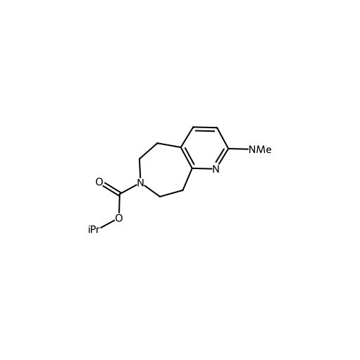 CNc1ccc2c(n1)CCN(C(=O)OC(C)C)CC2